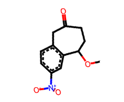 COC1CCC(=O)Cc2ccc([N+](=O)[O-])cc21